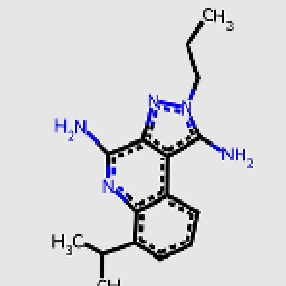 CCCn1nc2c(N)nc3c(C(C)C)cccc3c2c1N